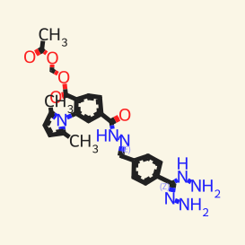 CC(=O)OCOC(=O)c1ccc(C(=O)N/N=C/c2ccc(/C(=N/N)NN)cc2)cc1-n1c(C)ccc1C